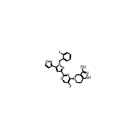 Oc1n[nH]c2c1CN(c1nc(-c3cc(-c4ccon4)n(Cc4ccccc4F)n3)ncc1F)CC2